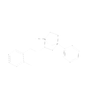 CC12CCC(c3ccccc3)(CC1OCc1ccccc1F)O2